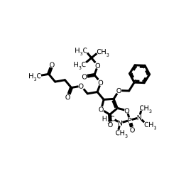 CC(=O)CCC(=O)OCC(OC(=O)OC(C)(C)C)C1OC(=O)C(OP(=O)(N(C)C)N(C)C)=C1OCc1ccccc1